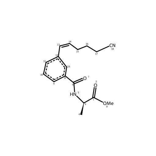 COC(=O)[C@@H](C)NC(=O)c1cccc(/C=C\CCCC#N)c1